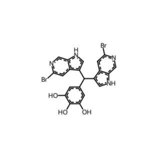 Oc1cc(C(c2c[nH]c3cnc(Br)cc23)c2c[nH]c3cnc(Br)cc23)cc(O)c1O